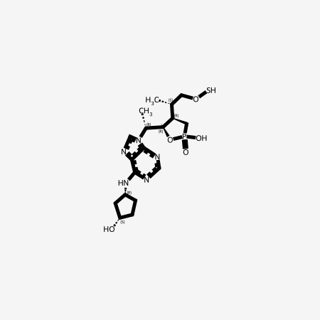 C[C@H](COS)[C@H]1CP(=O)(O)O[C@H]1[C@@H](C)n1cnc2c(N[C@@H]3CC[C@H](O)C3)ncnc21